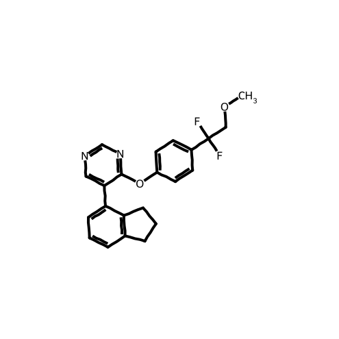 COCC(F)(F)c1ccc(Oc2ncncc2-c2cccc3c2CCC3)cc1